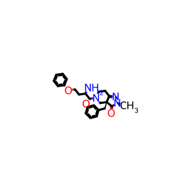 CN1N=C2CCN(C(=O)C(N)CCOc3ccccc3)C[C@@]2(Cc2ccccc2)C1=O